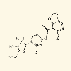 O=C(Nc1ccn([C@@H]2OC(CO)[C@H](O)C2(F)F)c(=O)n1)c1c(Br)ccc2c1OCO2